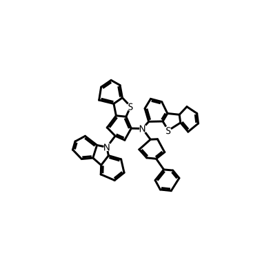 C1=CCC2C(=C1)Sc1c2cccc1N(c1cc(-n2c3ccccc3c3ccccc32)cc2c1sc1ccccc12)C1C=CC(c2ccccc2)=CC1